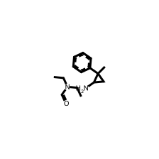 CC1(c2ccccc2)CC1N.CCN(C=O)CC